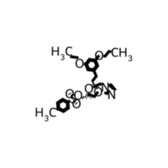 CCCOc1cc(CC[C@@]2(Cn3ccnc3)OC[C@H](COS(=O)(=O)c3ccc(C)cc3)O2)cc(OCCC)c1